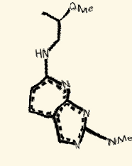 CNc1ncc2ccc(NC[C@@H](C)OC)nc2n1